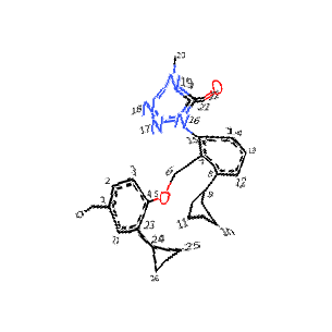 Cc1ccc(OCc2c(C3CC3)cccc2-n2nnn(C)c2=O)c(C2CC2)c1